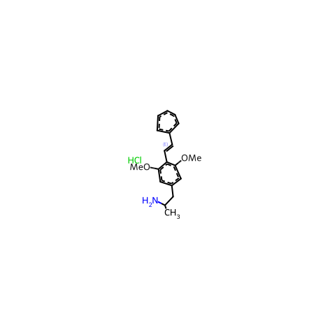 COc1cc(CC(C)N)cc(OC)c1/C=C/c1ccccc1.Cl